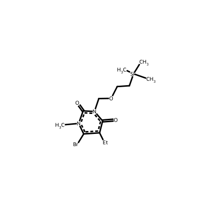 CCc1c(Br)n(C)c(=O)n(COCC[Si](C)(C)C)c1=O